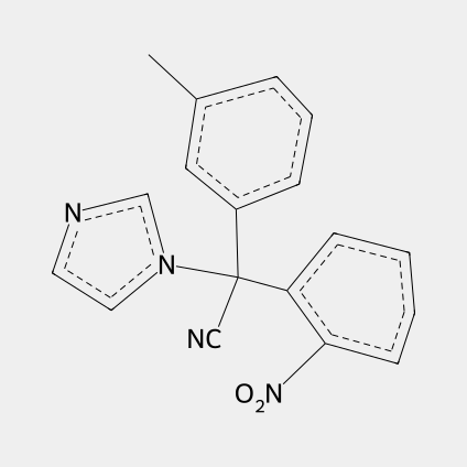 Cc1cccc(C(C#N)(c2ccccc2[N+](=O)[O-])n2ccnc2)c1